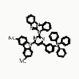 N#Cc1ccc2c(c1)c1cc(C#N)ccc1n2-c1cc(-c2cccc([Si](c3ccccc3)(c3ccccc3)c3ccccc3)c2)nc(-n2c3ccccc3n3c4ccccc4nc23)n1